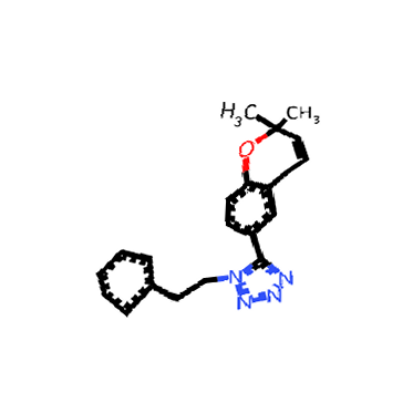 CC1(C)C=Cc2cc(-c3nnnn3CCc3ccccc3)ccc2O1